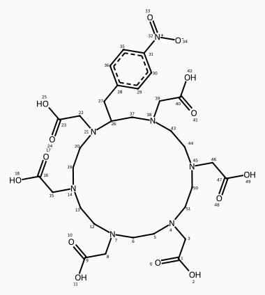 O=C(O)CN1CCN(CC(=O)O)CCN(CC(=O)O)CCN(CC(=O)O)C(Cc2ccc([N+](=O)[O-])cc2)CN(CC(=O)O)CCN(CC(=O)O)CC1